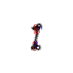 CC(C)(C)OC(=O)NC1C2CCCCCC1(C)c1cc(OC(=O)CCCCCCCCC(=O)Oc3cc(F)c4c(c3)C3(C)CCCCCC(C4)C3NC(=O)OC(C)(C)C)cc(F)c1C2